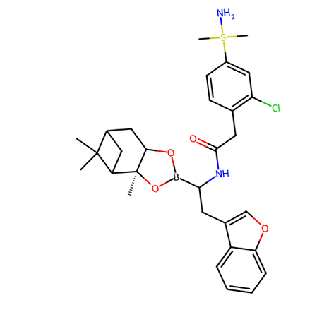 CC1(C)C2CC3OB(C(Cc4coc5ccccc45)NC(=O)Cc4ccc(S(C)(C)N)cc4Cl)O[C@@]3(C)C1C2